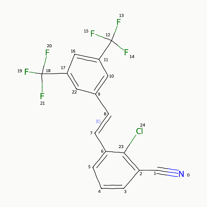 N#Cc1cccc(/C=C/c2cc(C(F)(F)F)cc(C(F)(F)F)c2)c1Cl